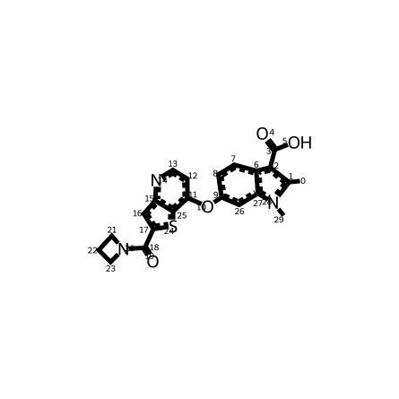 Cc1c(C(=O)O)c2ccc(Oc3ccnc4cc(C(=O)N5CCC5)sc34)cc2n1C